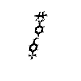 CC1(C)OB(c2ccc(OCc3ccc([Si](C)(C)C)cc3)cc2)OC1(C)C